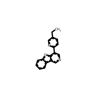 CCc1ccc(-c2cncc3c2oc2ccccc23)nc1